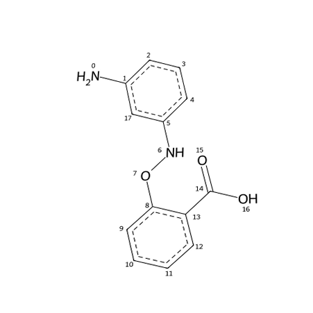 Nc1cccc(NOc2ccccc2C(=O)O)c1